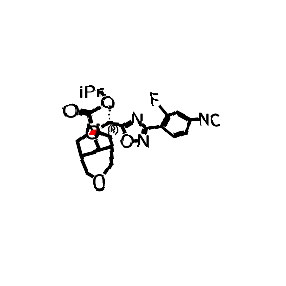 [C-]#[N+]c1ccc(-c2noc([C@@H](C)OC3C4COCC3CN(C(=O)OC(C)C)C4)n2)c(F)c1